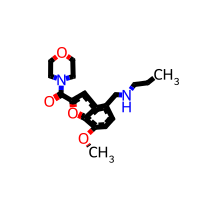 CCCNCc1ccc(OC)c2oc(C(=O)N3CCOCC3)cc12